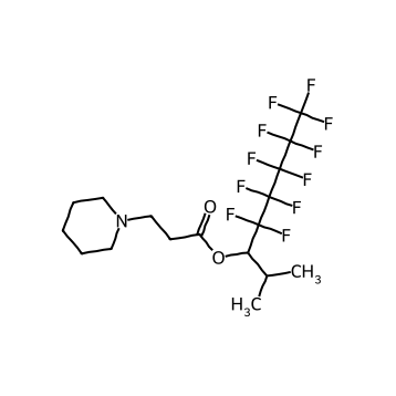 CC(C)C(OC(=O)CCN1CCCCC1)C(F)(F)C(F)(F)C(F)(F)C(F)(F)C(F)(F)F